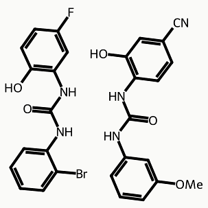 COc1cccc(NC(=O)Nc2ccc(C#N)cc2O)c1.O=C(Nc1cc(F)ccc1O)Nc1ccccc1Br